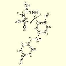 CN1C(=N)NC(C)(c2cc(NCc3ccc(F)cn3)ccc2F)CS1(=O)=O